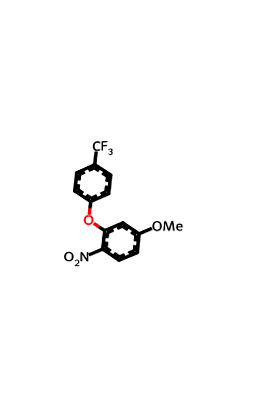 COc1ccc([N+](=O)[O-])c(Oc2ccc(C(F)(F)F)cc2)c1